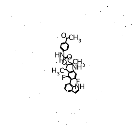 CC(=O)c1ccc(NC(=O)OC2C(C)c3c(cc(F)c(-c4cccc5cc[nH]c45)c3F)NC2(C)C)cc1